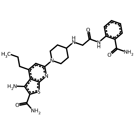 CCCc1cc(N2CCC(NCC(=O)Nc3ccccc3C(N)=O)CC2)nc2sc(C(N)=O)c(N)c12